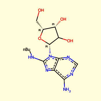 CCCCNc1nc2c(N)ncnc2n1[C@@H]1O[C@H](CO)[C@H](O)C1O